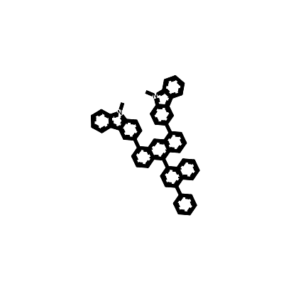 Cn1c2ccccc2c2cc(-c3cccc4c(-c5ccc(-c6ccccc6)c6ccccc56)c5cccc(-c6ccc7c(c6)c6ccccc6n7C)c5cc34)ccc21